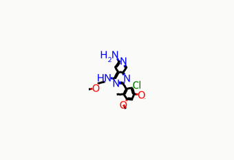 COCCNc1nc(-c2c(C)c(OC)cc(OC)c2Cl)nc2cnc(N)cc12